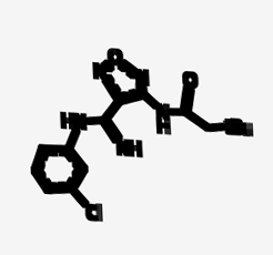 CC(C)(C)CC(=O)Nc1nonc1C(=N)Nc1cccc(Cl)c1